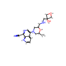 CC1CN(c2cnc(C#N)c3ncccc23)CC(CNCC2(O)COC2)O1